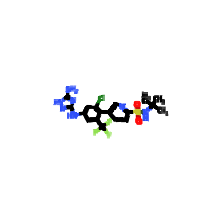 CC(C)(C)NS(=O)(=O)c1ccc(-c2c(Cl)cc(Nc3n[nH]c(N)n3)cc2C(F)(F)F)cn1